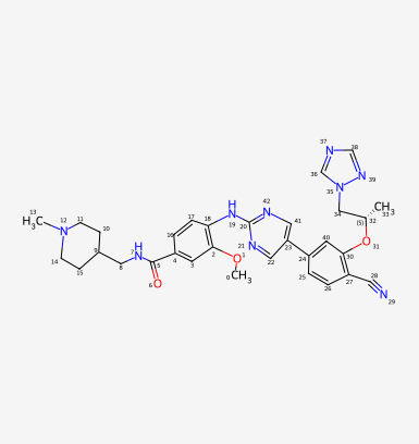 COc1cc(C(=O)NCC2CCN(C)CC2)ccc1Nc1ncc(-c2ccc(C#N)c(O[C@@H](C)Cn3cncn3)c2)cn1